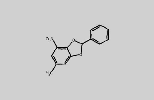 Cc1cc2c(c([N+](=O)[O-])c1)OC(c1ccccc1)O2